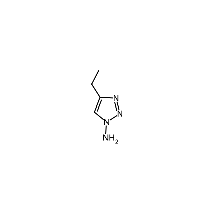 CCc1cn(N)nn1